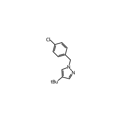 CC(C)(C)c1cnn(Cc2ccc(Cl)cc2)c1